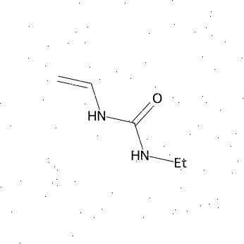 C=CNC(=O)NCC